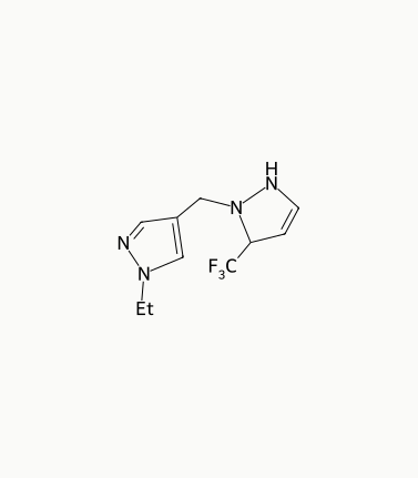 CCn1cc(CN2NC=CC2C(F)(F)F)cn1